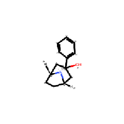 CC(C)(C)N1[C@@H]2CC[C@H]1CC(O)(c1ccccc1)C2